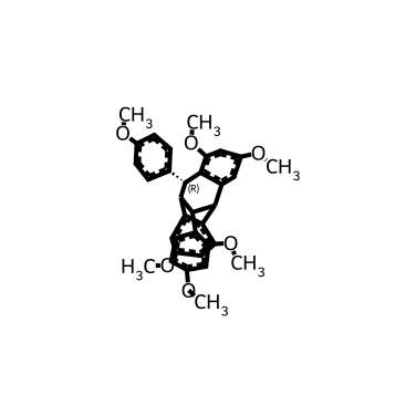 COc1ccc(C2C3c4cc(OC)cc(OC)c4[C@@H](c4ccc(OC)cc4)C2c2cc(OC)cc(OC)c23)cc1